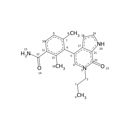 CCCn1cc(-c2c(C)ccc(C(N)=O)c2C)c2cc[nH]c2c1=O